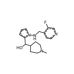 CN1CCC(C(O)c2cccn2NCc2ccncc2F)CC1